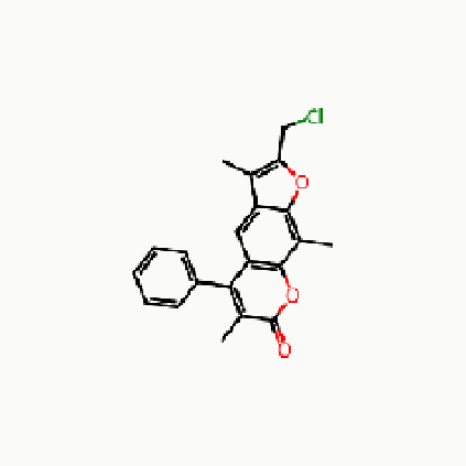 Cc1c(-c2ccccc2)c2cc3c(C)c(CCl)oc3c(C)c2oc1=O